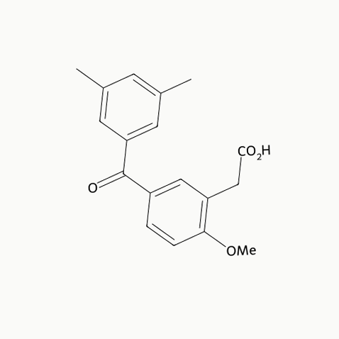 COc1ccc(C(=O)c2cc(C)cc(C)c2)cc1CC(=O)O